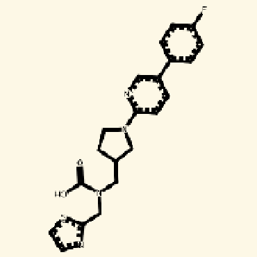 O=C(O)N(Cc1nccs1)CC1CCN(c2ccc(-c3ccc(F)cc3)cn2)C1